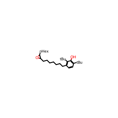 CCCCCCC1OC1CCCCCCCc1ccc(C(C)(C)C)c(O)c1C(C)(C)C